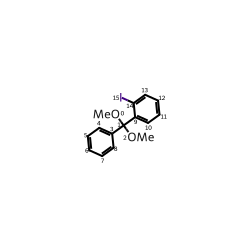 COC(OC)(c1ccccc1)c1ccccc1I